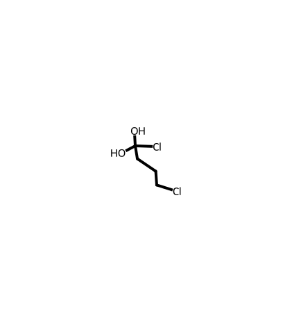 OC(O)(Cl)CCCCl